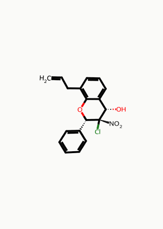 C=CCc1cccc2c1O[C@@H](c1ccccc1)[C@](Cl)([N+](=O)[O-])[C@H]2O